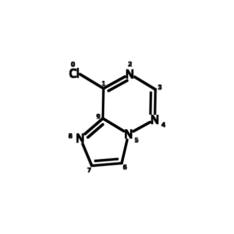 Clc1ncnn2ccnc12